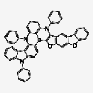 c1ccc(N2c3cccc4c3B(c3ccc5c(c3N4c3ccccc3)c3ccccc3n5-c3ccccc3)c3oc4cc5oc6ccccc6c5cc4c32)cc1